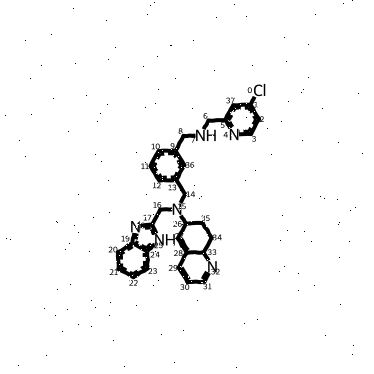 Clc1ccnc(CNCc2cccc(CN(Cc3nc4ccccc4[nH]3)C3C=C4C=CC=NC4CC3)c2)c1